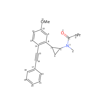 CCCC(=O)N(C)C1CC1c1cc(OC)ccc1C#Cc1ccccc1